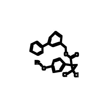 CCOc1ccc(C2(C(=O)OCc3cccc(-c4ccccc4)c3)CC2(Cl)Cl)cc1